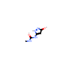 CNC(=O)NC1=CC(=O)N=N1